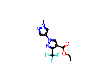 CCOC(=O)c1cn(-c2cnn(C)c2)nc1C(F)(F)F